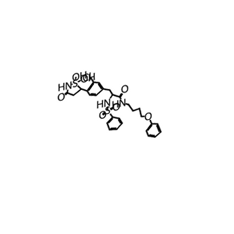 O=C1CC(c2ccc(CC(NS(=O)(=O)c3ccccc3)C(=O)NCCCCOc3ccccc3)cc2Cl)S(O)(O)N1